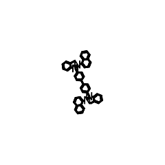 c1ccc2c(c1)CN(c1cccc3ccccc13)N2c1ccc(-c2ccc(N3c4ccccc4CN3c3cccc4ccccc34)cc2)cc1